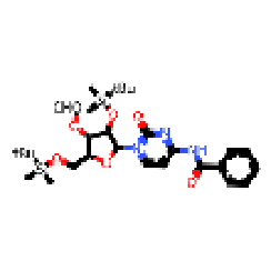 CC(C)(C)[Si](C)(C)OCC1OC(n2ccc(NC(=O)c3ccccc3)nc2=O)C(O[Si](C)(C)C(C)(C)C)C1OC=O